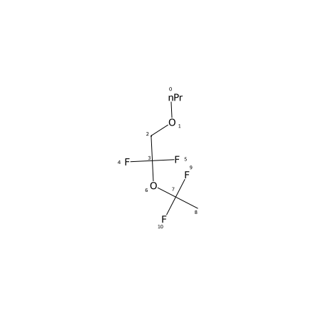 CCCOCC(F)(F)OC(C)(F)F